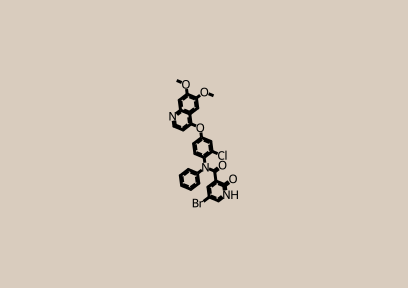 COc1cc2nccc(Oc3ccc(N(C(=O)c4cc(Br)c[nH]c4=O)c4ccccc4)c(Cl)c3)c2cc1OC